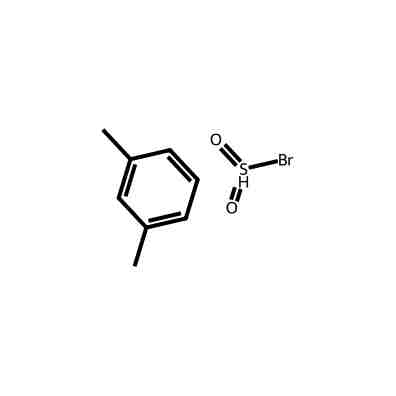 Cc1cccc(C)c1.O=[SH](=O)Br